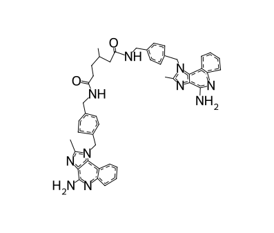 Cc1nc2c(N)nc3ccccc3c2n1Cc1ccc(CNC(=O)CCC(C)CC(=O)NCc2ccc(Cn3c(C)nc4c(N)nc5ccccc5c43)cc2)cc1